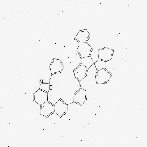 c1ccc(-c2nc3ccc4ccc5ccc(-c6cccc(-c7ccc8c(c7)C(c7ccccc7)(c7ccccc7)c7cc9ccccc9cc7-8)c6)cc5c4c3o2)cc1